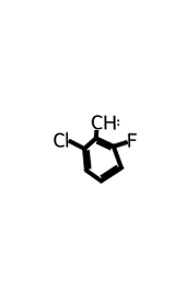 [CH]c1c(F)cccc1Cl